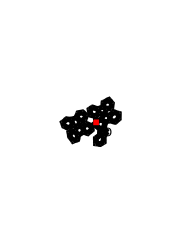 O=C(c1ccc2c(c1)C1(c3ccccc3-c3ccccc31)c1ccccc1-2)c1cccc2c1C1(c3ccccc3-2)c2ccccc2-c2c1ccc1c2oc2ccccc21